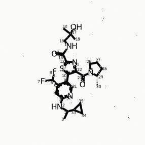 CC(Nc1cc(C(F)F)c(-c2sc(C(=O)NCC(C)(C)O)nc2C(=O)N2CCC[C@@H]2C)cn1)C1CC1